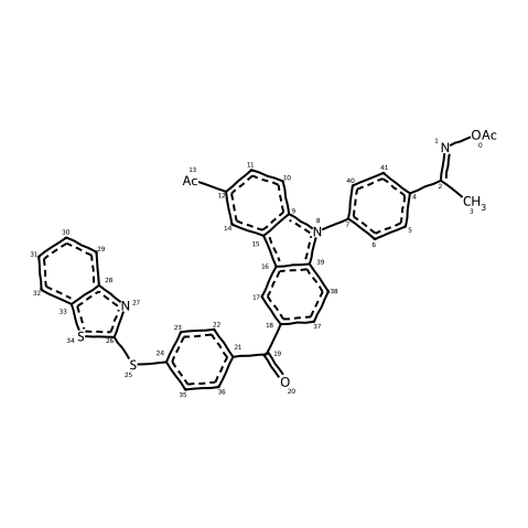 CC(=O)ON=C(C)c1ccc(-n2c3ccc(C(C)=O)cc3c3cc(C(=O)c4ccc(Sc5nc6ccccc6s5)cc4)ccc32)cc1